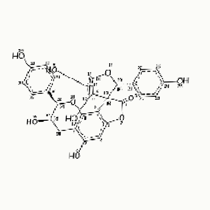 O=C1Oc2cc(O)c3c(c2[C@@]12c1c(O)cc(O)cc1O[C@@H]2c1ccc(O)cc1)O[C@H](c1ccc(O)cc1)[C@H](O)C3